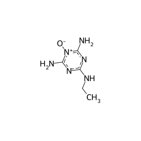 CCNc1nc(N)[n+]([O-])c(N)n1